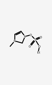 CCOS(=O)(=O)ON1C=CN(C)C1